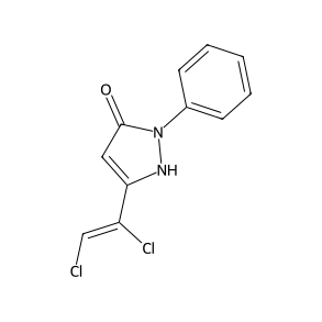 O=c1cc(C(Cl)=CCl)[nH]n1-c1ccccc1